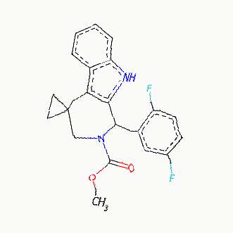 COC(=O)N1CC2(CC2)c2c([nH]c3ccccc23)C1c1cc(F)ccc1F